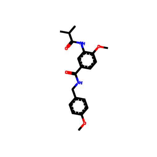 COc1ccc(CNC(=O)c2ccc(OC)c(NC(=O)C(C)C)c2)cc1